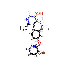 CC1=NNC(O)C(C)=C1c1ccc(Oc2ncccc2Br)cc1C